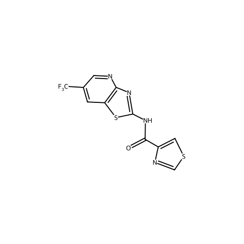 O=C(Nc1nc2ncc(C(F)(F)F)cc2s1)c1cscn1